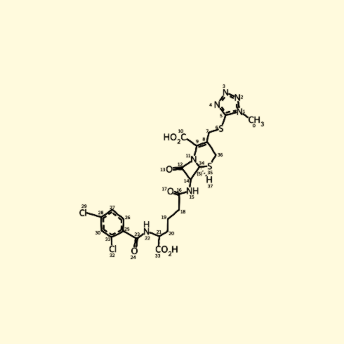 Cn1nnnc1SCC1=C(C(=O)O)N2C(=O)C(NC(=O)CCCC(NC(=O)c3ccc(Cl)cc3Cl)C(=O)O)[C@@H]2SC1